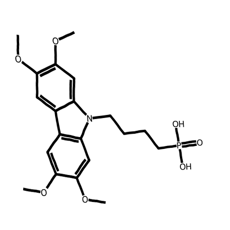 COc1cc2c3cc(OC)c(OC)cc3n(CCCCP(=O)(O)O)c2cc1OC